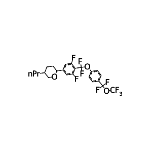 CCCC1CCC(c2cc(F)c(C(F)(F)Oc3ccc(C(F)(F)OC(F)(F)F)cc3)c(F)c2)OC1